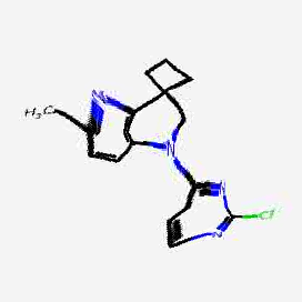 Cc1ccc2c(n1)C1(CCC1)CN2c1ccnc(Cl)n1